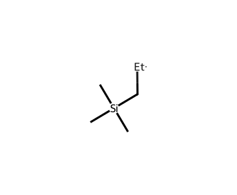 C[CH]C[Si](C)(C)C